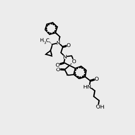 C[C@@H](C1CC1)N(Cc1ccccc1)C(=O)CN1CO[C@]2(C(=O)Cc3cc(C(=O)NCCCO)ccc32)C1=O